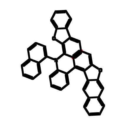 c1ccc(N(c2cccc3ccccc23)c2cccc3c2oc2ccccc23)c(-c2cccc3oc4cc5ccccc5cc4c23)c1